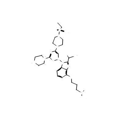 CN(C)CCCOc1cccc2c1nc(C(F)F)n2N1C=C(N2CCN(S(=O)(=O)CCl)CC2)N=C(N2CCOCC2)N1